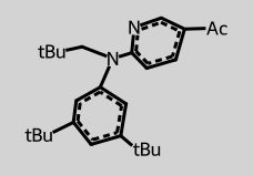 CC(=O)c1ccc(N(CC(C)(C)C)c2cc(C(C)(C)C)cc(C(C)(C)C)c2)nc1